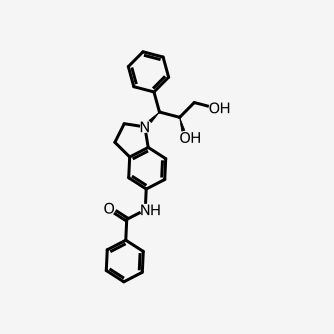 O=C(Nc1ccc2c(c1)CCN2[C@@H](c1ccccc1)[C@H](O)CO)c1ccccc1